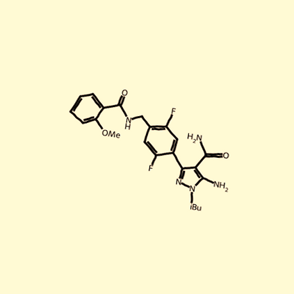 CCC(C)n1nc(-c2cc(F)c(CNC(=O)c3ccccc3OC)cc2F)c(C(N)=O)c1N